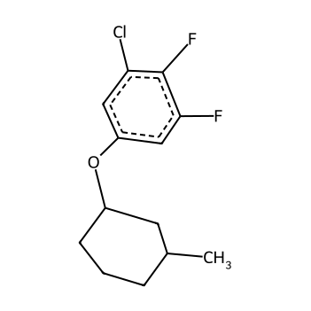 CC1CCCC(Oc2cc(F)c(F)c(Cl)c2)C1